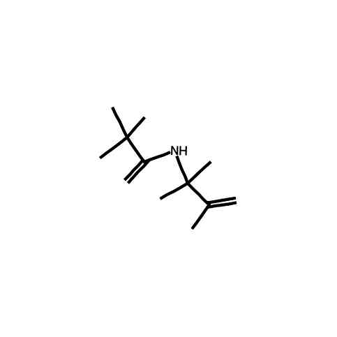 C=C(NC(C)(C)C(=C)C)C(C)(C)C